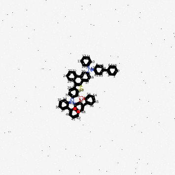 c1ccc(-c2ccc(N(c3ccccc3)c3ccc4c(c3)c3ccccc3c3c5ccc(N(c6ccccc6-c6ccccc6)c6cccc7c6oc6ccccc67)cc5sc43)cc2)cc1